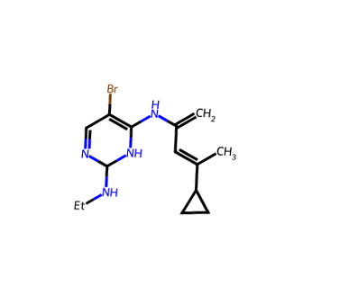 C=C(/C=C(\C)C1CC1)NC1=C(Br)C=NC(NCC)N1